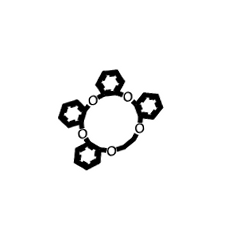 c1ccc2c(c1)OCCOc1ccccc1Oc1ccccc1Oc1ccccc1O2